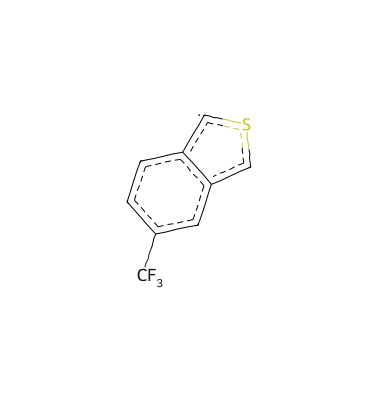 FC(F)(F)c1ccc2[c]scc2c1